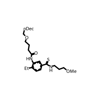 CCCCCCCCCCCOCCCC(=O)Nc1cc(C(=S)NCCCOC)ccc1CC